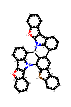 c1ccc2c(c1)oc1c2c2cccc3c2n1B1c2c-3cc3c(sc4ccccc43)c2-n2c3c1cccc3c1oc3ccccc3c12